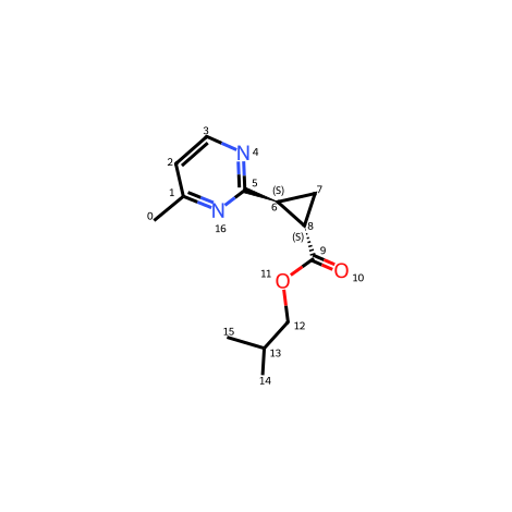 Cc1ccnc([C@H]2C[C@@H]2C(=O)OCC(C)C)n1